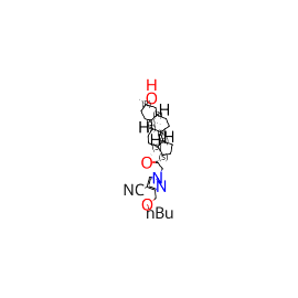 CCCCOCc1nn(CC(=O)[C@H]2CC[C@H]3[C@@H]4CC[C@@H]5C[C@](C)(O)CC[C@]5(C)[C@H]4CC[C@]23C)cc1C#N